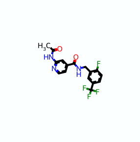 CC(=O)Nc1cc(C(=O)NCc2cc(C(F)(F)F)ccc2F)ccn1